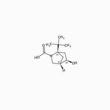 CC(C)(C)[C@@]12C[C@@H](CN1C(=O)O)[C@H](O)C2